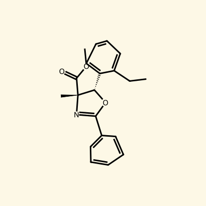 CCc1ccccc1[C@@H]1OC(c2ccccc2)=N[C@]1(C)C(=O)OC